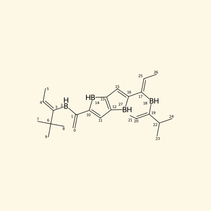 C=C(B/C(=C\C)C(C)(C)C)C1=CC2=C(B1)C=C(/C(B/C(=C\C)C(C)C)=C/C)B2